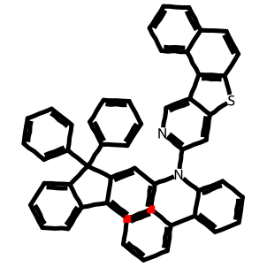 c1ccc(-c2ccccc2N(c2ccc3c(c2)C(c2ccccc2)(c2ccccc2)c2ccccc2-3)c2cc3sc4ccc5ccccc5c4c3cn2)cc1